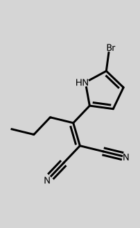 CCCC(=C(C#N)C#N)c1ccc(Br)[nH]1